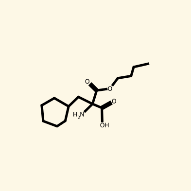 CCCCOC(=O)C(N)(CC1CCCCC1)C(=O)O